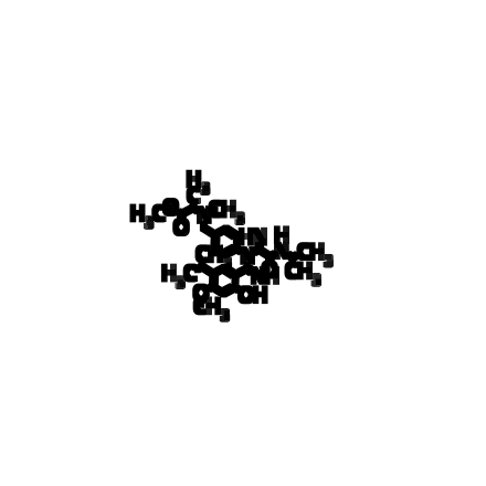 COC(=O)C(C)N(C)Cc1ccc(N(C(=N)C(=O)NC(C)C)C(=N)c2cc(C(C)C)c(OC)cc2O)cc1